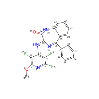 CCOc1nc(F)c(F)c(NC2N=C(c3ccccc3)c3ccccc3NC2=O)c1F